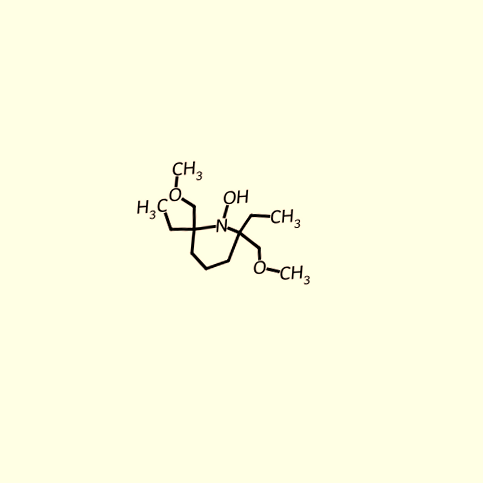 CCC1(COC)CCCC(CC)(COC)N1O